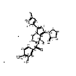 Cc1nsc(-c2nc(N3CCCC3=O)c3n2CCN(C(=O)c2ccc(Cl)c(F)c2)[C@@H]3C)n1